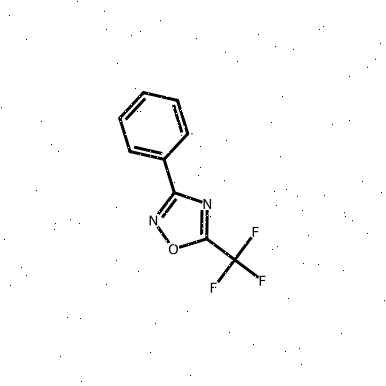 FC(F)(F)c1nc(-c2[c]cccc2)no1